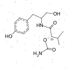 CC(C)[C@H](OC(N)=O)C(=O)NC(CO)Cc1ccc(O)cc1